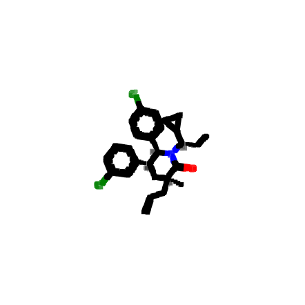 C=CC[C@@]1(C)C[C@H](c2cccc(Cl)c2)[C@@H](c2ccc(Cl)cc2)N([C@@H](CC)C2CC2)C1=O